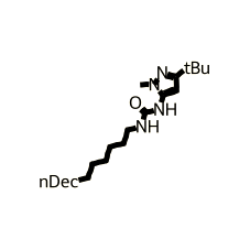 CCCCCCCCCCCCCCCCNC(=O)Nc1cc(C(C)(C)C)nn1C